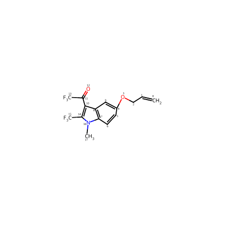 C=CCOc1ccc2c(c1)c(C(=O)C(F)(F)F)c(C(F)(F)F)n2C